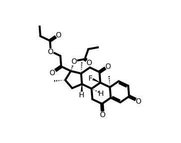 CCC(=O)OCC(=O)[C@]1(OC(=O)CC)[C@@H](C)C[C@H]2[C@@H]3CC(=O)C4=CC(=O)C=C[C@]4(C)[C@@]3(F)C(=O)C[C@@]21C